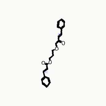 O=C(/C=C/c1ccccc1)COCCCOC(=O)/C=C/c1ccccc1